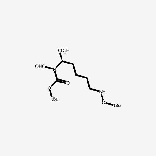 CC(C)(C)ONCCCC[C@H](C(=O)O)N(C=O)C(=O)OC(C)(C)C